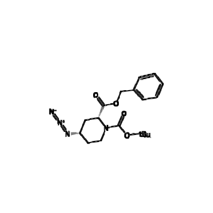 CC(C)(C)OC(=O)N1CC[C@H](N=[N+]=[N-])C[C@@H]1C(=O)OCc1ccccc1